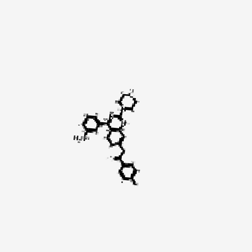 Cc1ccc(C(=O)CC2=Cc3nc(N4CCOCC4)nc(-c4cccc(N)c4)c3CC2)cc1